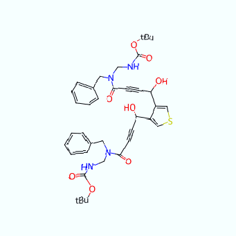 CC(C)(C)OC(=O)NCN(Cc1ccccc1)C(=O)C#CC(O)c1cscc1C(O)C#CC(=O)N(CNC(=O)OC(C)(C)C)Cc1ccccc1